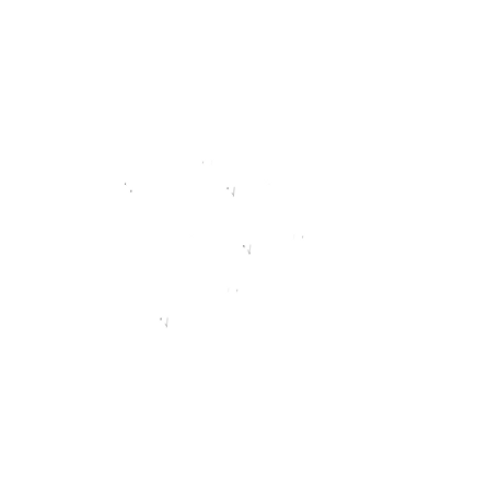 N#CC(C#N)=C([N+](=O)[O-])[N+](=O)[O-]